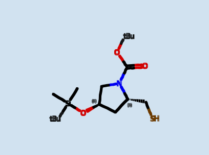 CC(C)(C)OC(=O)N1C[C@H](O[Si](C)(C)C(C)(C)C)C[C@H]1CS